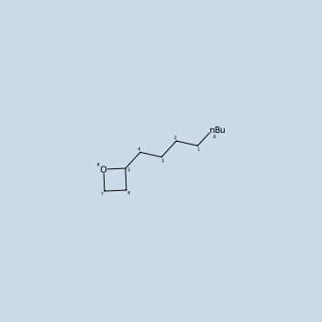 CCCCCCCCC1CCO1